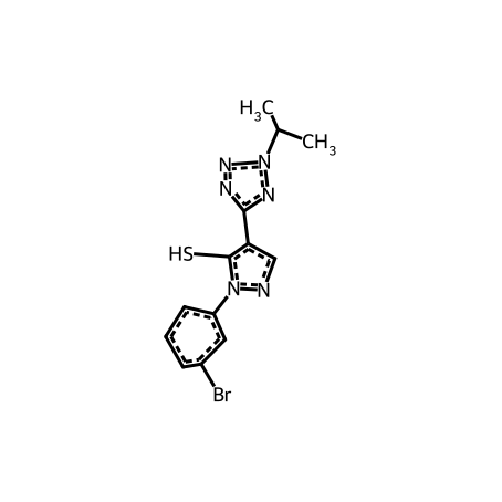 CC(C)n1nnc(-c2cnn(-c3cccc(Br)c3)c2S)n1